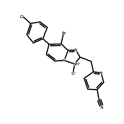 N#Cc1ccc(CC2N=C3C(Br)=C(c4ccc(Cl)cc4)C=CN3[NH+]2[O-])nc1